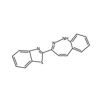 C1=Cc2ccccc2NN=C1c1nc2ccccc2s1